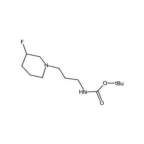 CC(C)(C)OC(=O)NCCCN1CCCC(F)C1